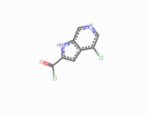 O=C(Cl)c1cc2c(Cl)cncc2[nH]1